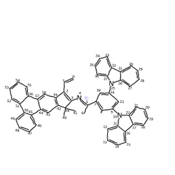 C=CC1=C(/N=C(\C)c2cc(-n3c4ccccc4c4ccccc43)cc(-n3c4ccccc4c4ccccc43)c2)C(C)(C)c2cc3c4ccccc4c4ccccc4c3cc21